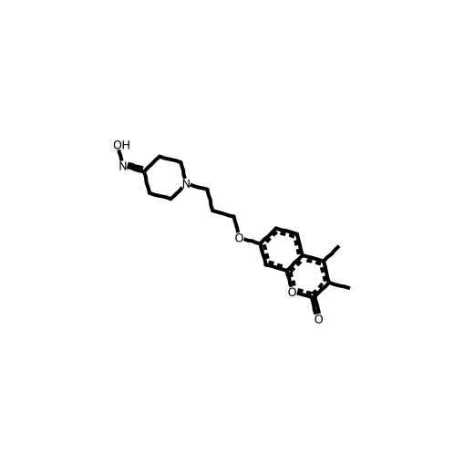 Cc1c(C)c2ccc(OCCCN3CCC(=NO)CC3)cc2oc1=O